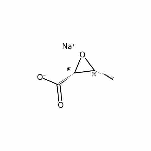 C[C@H]1O[C@H]1C(=O)[O-].[Na+]